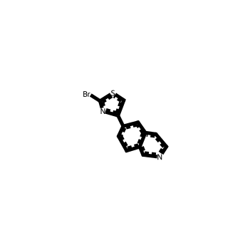 Brc1nc(-c2ccc3cnccc3c2)cs1